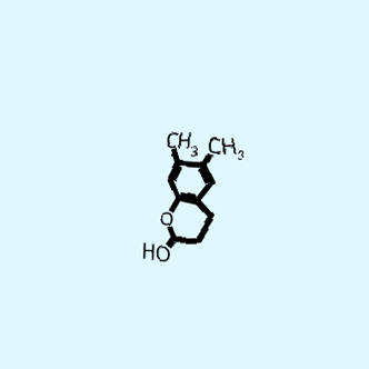 Cc1cc2c(cc1C)OC(O)CC2